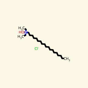 CCCCCCCCCCCCCCCCCCC[N+](O)(CC)CC.[Cl-]